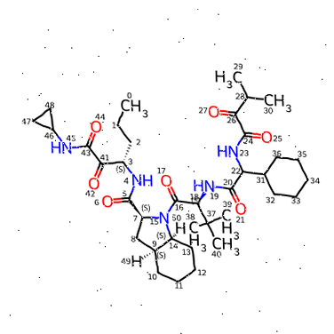 CCC[C@H](NC(=O)[C@@H]1C[C@@H]2CCCC[C@@H]2N1C(=O)[C@@H](NC(=O)C(NC(=O)C(=O)C(C)C)C1CCCCC1)C(C)(C)C)C(=O)C(=O)NC1CC1